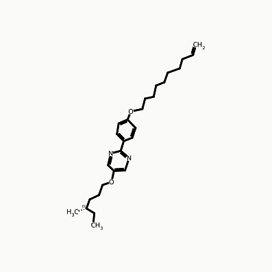 C=CCCCCCCCCOc1ccc(-c2ncc(OCCC[C@@H](C)CC)cn2)cc1